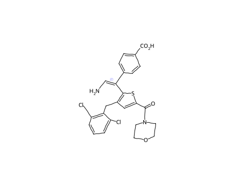 N/C=C(/c1ccc(C(=O)O)cc1)c1sc(C(=O)N2CCOCC2)cc1Cc1c(Cl)cccc1Cl